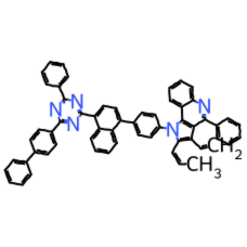 C=Cc1c(/C=C\C)n(-c2ccc(-c3ccc(-c4nc(-c5ccccc5)nc(-c5ccc(-c6ccccc6)cc5)n4)c4ccccc34)cc2)c2c1c(-c1ccccc1)nc1ccccc12